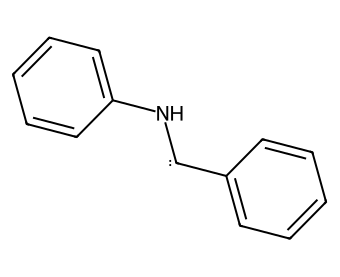 [C](Nc1ccccc1)c1ccccc1